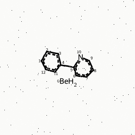 [BeH2].c1ccc(-c2ccccn2)cc1